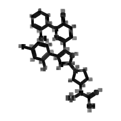 Cc1ccccc1-n1nc(-c2oc(N3CCC(N(C)C(=O)O)C3)nc2-c2ccc(F)cc2F)ccc1=O